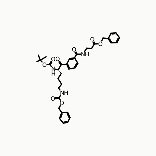 CC(C)(C)OC(=O)N[C@@H](CCCCNC(=O)OCc1ccccc1)C(=O)c1cccc(C(=O)NCCC(=O)OCc2ccccc2)c1